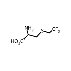 N[C@@H](CSCC(F)(F)F)C(=O)O